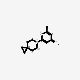 Cc1cc(=O)cc(N2CCC3(CC2)CC3)o1